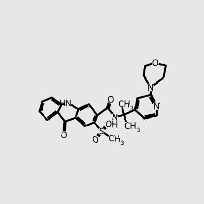 CC(C)(NC(=O)c1cc2[nH]c3ccccc3c(=O)c2cc1S(C)(=O)=O)c1ccnc(N2CCOCC2)c1